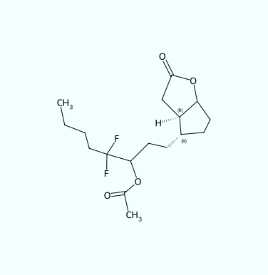 CCCCC(F)(F)C(CC[C@H]1CCC2OC(=O)C[C@@H]21)OC(C)=O